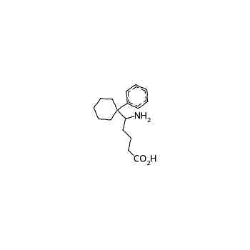 NC(CCCC(=O)O)C1(c2ccccc2)CCCCC1